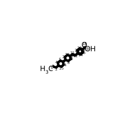 CCCC1CCC(C2CCC(/C=C/c3ccc(C(=O)O)cc3)CC2)CC1